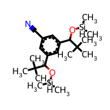 C[SiH](C)OC(c1cc(C#N)cc(C(O[SiH](C)C)C(C)(C)C)c1)C(C)(C)C